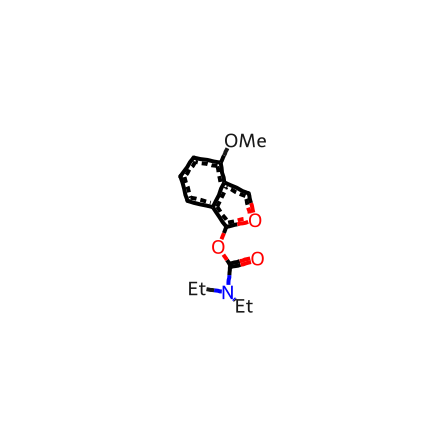 CCN(CC)C(=O)Oc1occ2c(OC)cccc12